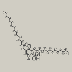 CCCCCCCCCCCCCCCC(=O)CC(CN(C)CC(O)O)C(=O)CCCCCCCCCCCCCCC